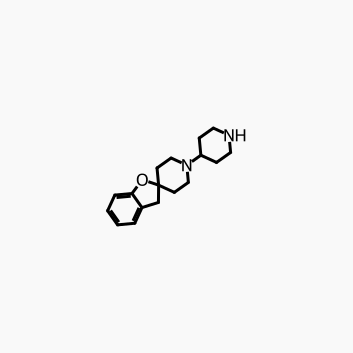 c1ccc2c(c1)CC1(CCN(C3CCNCC3)CC1)O2